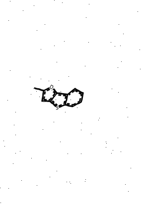 Cc1cc2sc3ccccc3c2o1